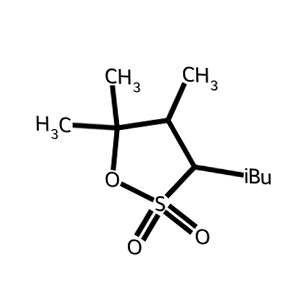 CCC(C)C1C(C)C(C)(C)OS1(=O)=O